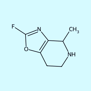 CC1NCCc2oc(F)nc21